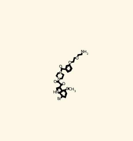 COc1ccc(Br)c2[nH]cc(C(=O)C(=O)N3CCN(C(=O)c4cccc(OCCOCCN)c4)CC3)c12